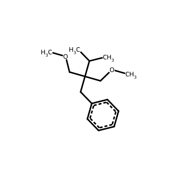 COCC(COC)(Cc1ccccc1)C(C)C